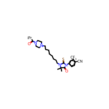 CC(C)C(=O)N1CCN(CCCCCCCCN2C(=S)N(c3ccc(C#N)c(C(F)(F)F)c3)C(=O)C2(C)C)CC1